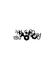 [2H]N1CC(c2cccc3c2n(C)c(=O)n3C2CCC(=O)NC2=O)C1C(C)(C)C